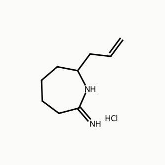 C=CCC1CCCCC(=N)N1.Cl